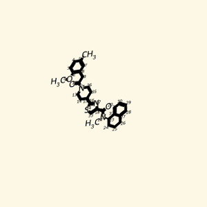 COc1ccc(C)cc1CC(=O)N1CCC(c2nc(C(=O)N(C)[C@@H]3CCCc4ccccc43)cs2)CC1